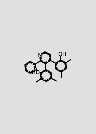 Cc1cc(C)c(O)c(-c2ccnc(-c3ccccn3)c2-c2cc(C)cc(C)c2O)c1